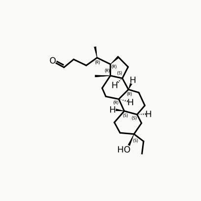 CC[C@]1(O)CC[C@H]2[C@@H](CC[C@@H]3[C@@H]2CC[C@]2(C)[C@@H]([C@H](C)CCC=O)CC[C@@H]32)C1